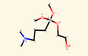 CO[Si](CCCN(C)C)(OC)OCCO